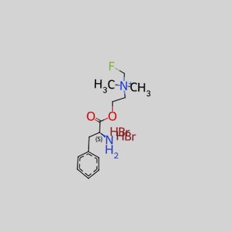 Br.Br.C[N+](C)(CF)CCOC(=O)[C@@H](N)Cc1ccccc1